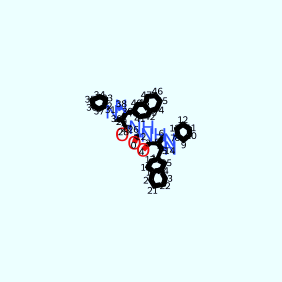 O=C(NC(=O)c1cn(-c2ccccc2)nc1-c1ccc2ccccc2c1)NC(=O)c1cn(-c2ccccc2)nc1-c1ccc2ccccc2c1